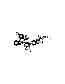 CCOC(=O)C1CC2(CCN(c3cc(O[C@H](c4ccc(Cl)cc4-n4ncc5ccccc54)C(F)(F)F)nc(N)n3)CC2)CN1